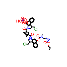 CCCOC(=O)N(C)CCN(C)C(=O)Oc1cc2c(c3ccccc13)C(CCl)CN2C(=O)C12CC3(C(=O)N4CC(CCl)c5c4cc(OP(=O)(O)O)c4ccccc54)CC13C2